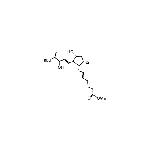 CCCCC(C)[C@H](O)C=C[C@@H]1[C@@H](CC=CCCCC(=O)OC)[C@H](Br)C[C@H]1O